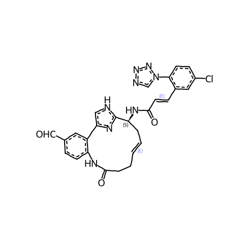 O=Cc1ccc2c(c1)-c1c[nH]c(n1)[C@@H](NC(=O)/C=C/c1cc(Cl)ccc1-n1cnnn1)C/C=C/CCC(=O)N2